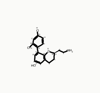 Cl.NCC[C@H]1CCc2cccc(-c3ccc(Cl)cc3Cl)c2O1